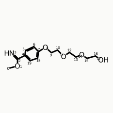 COC(=N)c1ccc(OCCOCCOCCO)cc1